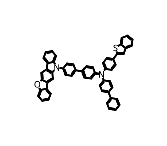 c1ccc(-c2ccc(N(c3ccc(-c4ccc(-n5c6ccccc6c6cc7oc8ccccc8c7cc65)cc4)cc3)c3ccc(-c4cc5ccccc5s4)cc3)cc2)cc1